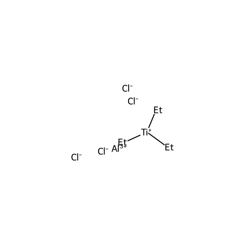 C[CH2][Ti+]([CH2]C)[CH2]C.[Al+3].[Cl-].[Cl-].[Cl-].[Cl-]